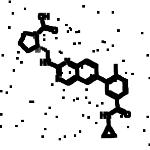 Cc1ccc(C(=O)NC2CC2)cc1-c1ccc2nc(NC[C@@H]3CCCN3C(=O)O)ncc2c1